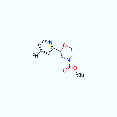 [2H]c1ccnc(C2CN(C(=O)OC(C)(C)C)CCO2)c1